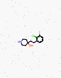 OC1(CCc2cccc(F)c2Cl)CCNCC1